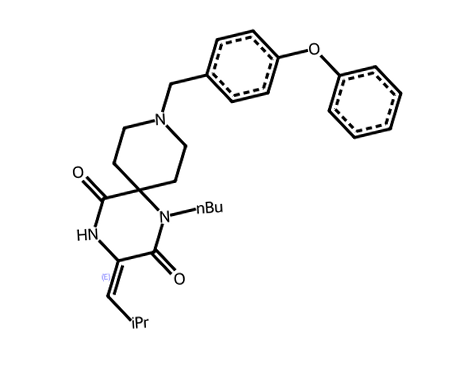 CCCCN1C(=O)/C(=C\C(C)C)NC(=O)C12CCN(Cc1ccc(Oc3ccccc3)cc1)CC2